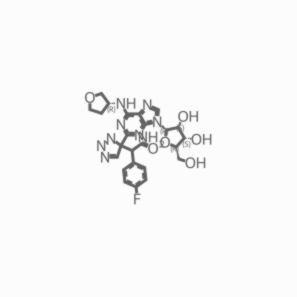 NC(=O)C(c1ccc(F)cc1)C1(c2nc(N[C@@H]3CCOC3)c3ncn([C@@H]4O[C@H](CO)[C@@H](O)[C@@H]4O)c3n2)C=NN=N1